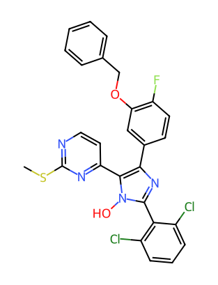 CSc1nccc(-c2c(-c3ccc(F)c(OCc4ccccc4)c3)nc(-c3c(Cl)cccc3Cl)n2O)n1